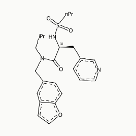 CCCS(=O)(=O)N[C@@H](Cc1cccnc1)C(=O)N(Cc1ccc2occc2c1)CC(C)C